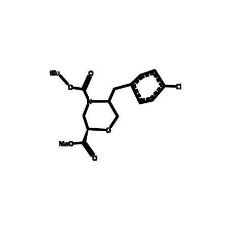 COC(=O)[C@H]1CN(C(=O)OC(C)(C)C)C(Cc2ccc(Cl)cc2)CO1